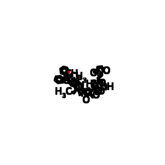 CCc1c2c(nc3ccc(O[Si](c4ccccc4)(c4ccccc4)C(C)(C)C)cc13)-c1cc3c(c(=O)n1C2)COC(=O)C3(CC)[C@H](NC(=O)CCN1C(=O)C=CC1=O)C(=O)O